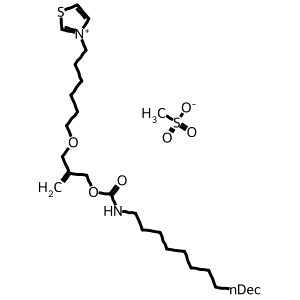 C=C(COCCCCCC[n+]1ccsc1)COC(=O)NCCCCCCCCCCCCCCCCCC.CS(=O)(=O)[O-]